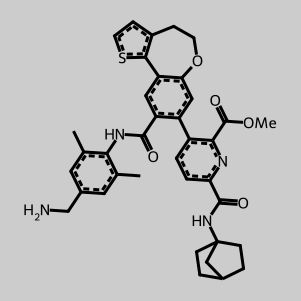 COC(=O)c1nc(C(=O)NC23CCC(CC2)C3)ccc1-c1cc2c(cc1C(=O)Nc1c(C)cc(CN)cc1C)-c1sccc1CCO2